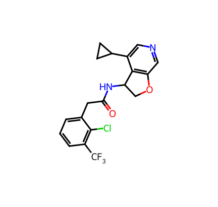 O=C(Cc1cccc(C(F)(F)F)c1Cl)NC1COc2cncc(C3CC3)c21